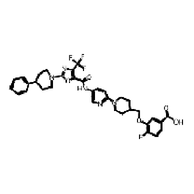 O=C(O)c1ccc(F)c(OCC2CCN(c3ccc(NC(=O)c4oc(N5CCC(c6ccccc6)CC5)nc4C(F)(F)F)cn3)CC2)c1